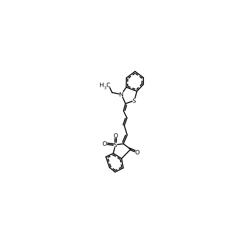 CCN1/C(=C/C=C/C=C2/C(=O)c3ccccc3S2(=O)=O)Sc2ccccc21